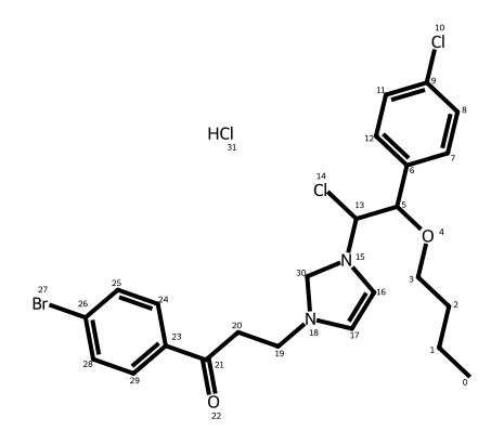 CCCCOC(c1ccc(Cl)cc1)C(Cl)N1C=CN(CCC(=O)c2ccc(Br)cc2)C1.Cl